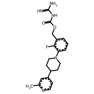 Cc1cc(C2CCN(c3cccc(COC(=O)NC(=N)N)c3F)CC2)ccn1